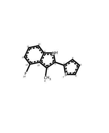 Cc1c(-c2cccs2)[nH]c2cccc(F)c12